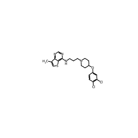 Cc1csc2c(NCCCN3CCC(Oc4ccc(Cl)c(Cl)c4)CC3)ncnc12